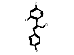 Fc1ccc(C=C(CCl)c2ccc(F)cc2Cl)cc1